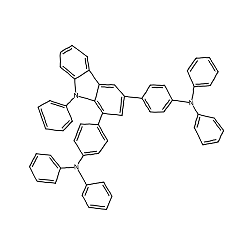 c1ccc(N(c2ccccc2)c2ccc(-c3cc(-c4ccc(N(c5ccccc5)c5ccccc5)cc4)c4c(c3)c3ccccc3n4-c3ccccc3)cc2)cc1